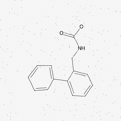 [O]C(=O)NCc1ccccc1-c1ccccc1